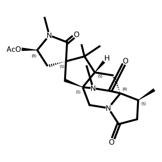 CC(=O)O[C@@H]1C[C@]2(C[C@@]34CN5C(=O)C[C@H](C)[C@]5(C[C@H]3C2(C)C)C(=O)N4C)C(=O)N1C